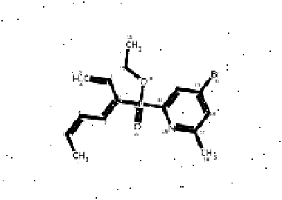 C=C/C(=C\C=C/C)P(=O)(OCC)c1cc(Br)cc(C)n1